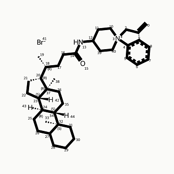 C=CC[N+]1(c2ccccc2)CCC(NC(=O)CC[C@@H](C)[C@H]2CC[C@H]3[C@@H]4CCC5CCCC[C@]5(C)[C@H]4CC[C@]23C)CC1.[Br-]